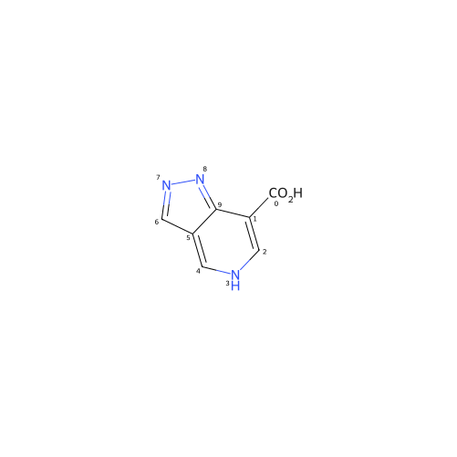 O=C(O)c1c[nH]cc2cnnc1-2